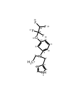 CCN(Cc1c[nH]cn1)c1cccc(OC(F)(F)C(F)F)c1